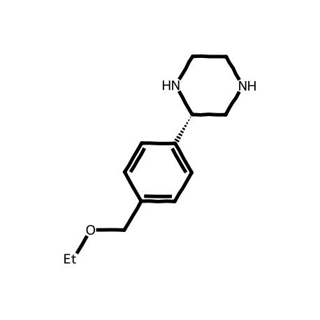 CCOCc1ccc([C@H]2CNCCN2)cc1